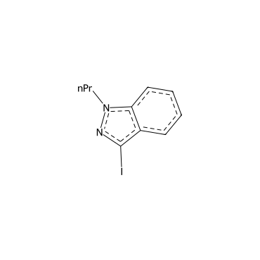 CCCn1nc(I)c2ccccc21